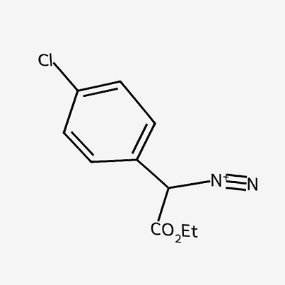 CCOC(=O)C([N+]#N)c1ccc(Cl)cc1